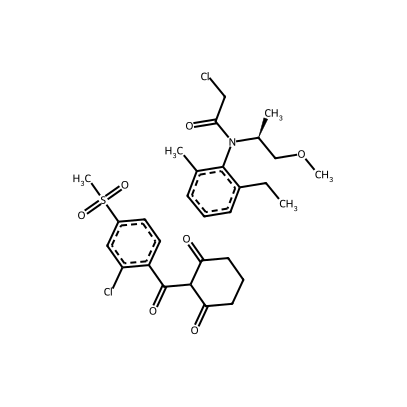 CCc1cccc(C)c1N(C(=O)CCl)[C@@H](C)COC.CS(=O)(=O)c1ccc(C(=O)C2C(=O)CCCC2=O)c(Cl)c1